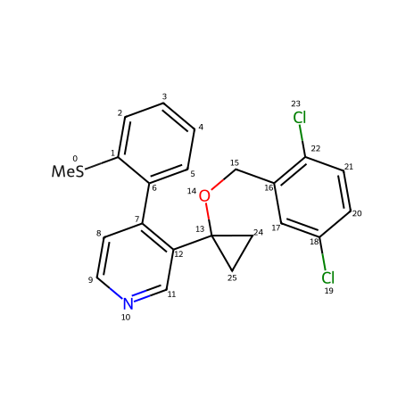 CSc1ccccc1-c1ccncc1C1(OCc2cc(Cl)ccc2Cl)CC1